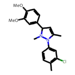 COc1ccc(C2C=C(C)N(c3ccc(C)c(Cl)c3)N2C)cc1OC